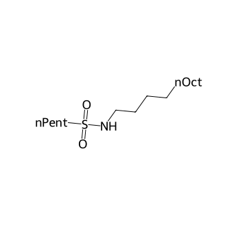 CCCCCCCCCCCCNS(=O)(=O)CCCCC